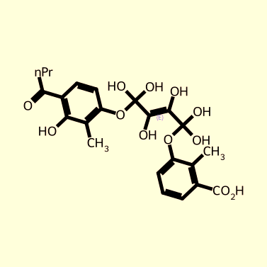 CCCC(=O)c1ccc(OC(O)(O)/C(O)=C(\O)C(O)(O)Oc2cccc(C(=O)O)c2C)c(C)c1O